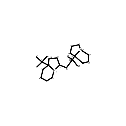 CC(C)(C)C12CCCCN1C(CC(C)(C)C13CCCN1CCC3)CC2